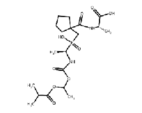 CC(OC(=O)N[C@@H](C)P(=O)(O)CC1(C(=O)N[C@@H](C)C(=O)O)CCCC1)OC(=O)C(C)C